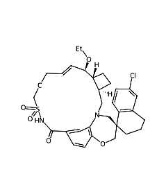 CCO[C@@H]1/C=C/CCCS(=O)(=O)NC(=O)c2ccc3c(c2)N(C[C@@H]2CC[C@H]21)C[C@@]1(CCCc2cc(Cl)ccc21)CO3